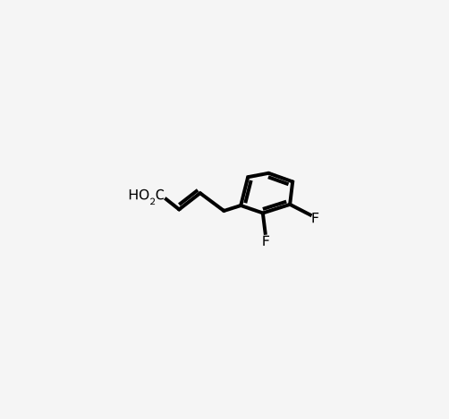 O=C(O)/C=C/Cc1cccc(F)c1F